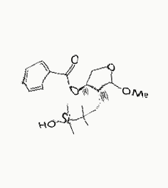 COC1OC[C@H](OC(=O)c2ccccc2)[C@H]1CC(C)(C)[Si](C)(C)O